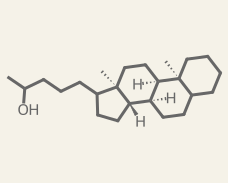 CC(O)CCCC1CC[C@H]2[C@@H]3CCC4CCCC[C@]4(C)[C@@H]3CC[C@]12C